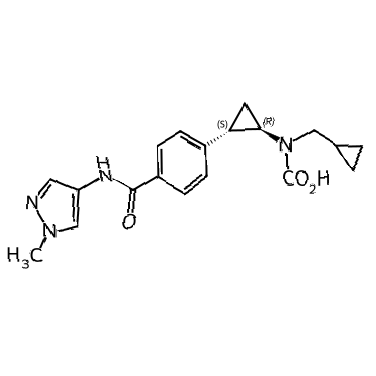 Cn1cc(NC(=O)c2ccc([C@@H]3C[C@H]3N(CC3CC3)C(=O)O)cc2)cn1